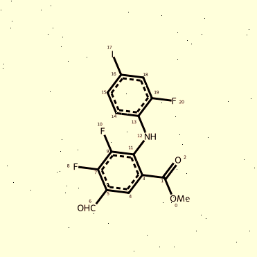 COC(=O)c1cc(C=O)c(F)c(F)c1Nc1ccc(I)cc1F